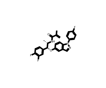 C=C(C)C(=O)N[C@@H](C)[C@H](Oc1ccc2c(cnn2-c2ccc(F)cc2)c1)c1ccc(F)c(F)c1